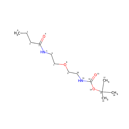 CCCC(=O)NCCOCCNC(=O)OC(C)(C)C